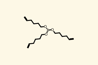 C=CCCCCOB(OCCCCC=C)OCCCCC=C